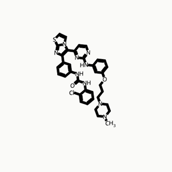 CN1CCN(CCCOc2cccc(Nc3nccc(-c4c(-c5cccc(NC(=O)Nc6ccccc6Cl)c5)nc5sccn45)n3)c2)CC1